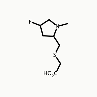 CN1CC(F)CC1CSCC(=O)O